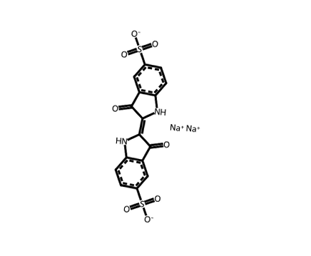 O=C1C(=C2Nc3ccc(S(=O)(=O)[O-])cc3C2=O)Nc2ccc(S(=O)(=O)[O-])cc21.[Na+].[Na+]